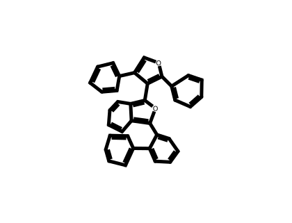 c1ccc(-c2ccccc2-c2oc(-c3c(-c4ccccc4)coc3-c3ccccc3)c3ccccc23)cc1